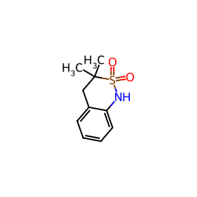 CC1(C)Cc2ccccc2NS1(=O)=O